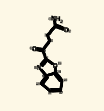 NC(=O)C[CH]C(=O)c1nc2ccccc2o1